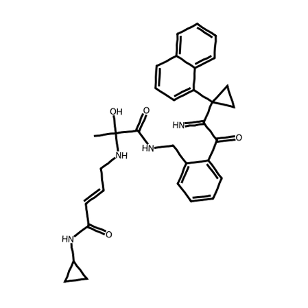 CC(O)(NC/C=C/C(=O)NC1CC1)C(=O)NCc1ccccc1C(=O)C(=N)C1(c2cccc3ccccc23)CC1